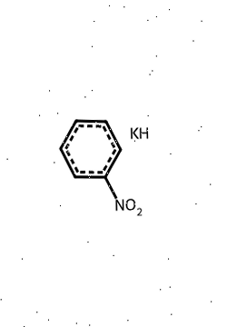 O=[N+]([O-])c1ccccc1.[KH]